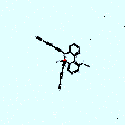 C#CC#CC#CP(C#CC#CC#C)c1ccccc1-c1c(OC(C)C)cccc1OC(C)C